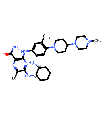 CCc1nc(C(N)=O)c(Nc2ccc(N3CCC(N4CCN(C)CC4)CC3)c(C)c2)nc1N[C@@H]1CCCC[C@@H]1N